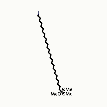 CO[Si](CCCCCCCCCCCCCCCCCCCCCCCCCCCCCI)(OC)OC